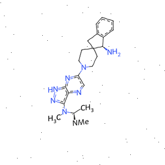 CN[C@H](C)N(C)c1n[nH]c2nc(N3CCC4(CC3)Cc3ccccc3[C@H]4N)cnc12